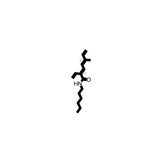 C=C/C(C)=C/C=C(\C=C)C(=O)NCCCCCC